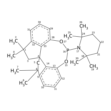 CC1(C)CC23CC(C)(C)c4cccc(c42)OP(N2C(C)(C)CCCC2(C)C)Oc2cccc1c23